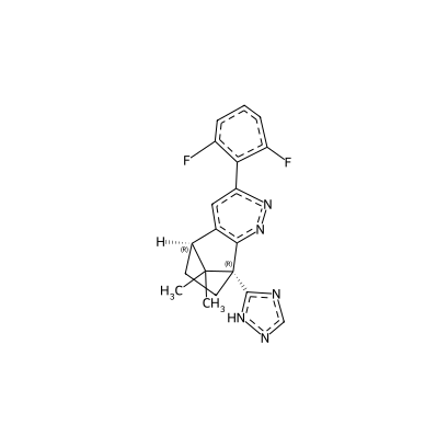 CC1(C)[C@H]2CC[C@]1(c1ncn[nH]1)c1nnc(-c3c(F)cccc3F)cc12